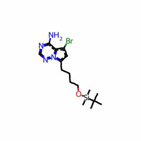 CC(C)(C)[Si](C)(C)OCCCCc1cc(Br)c2c(N)ncnn12